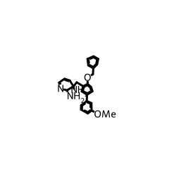 COc1cccc(-c2ccc(OCc3ccccc3)c(CC3(N)C=CC=NC3N)c2)c1